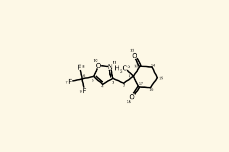 CC1(Cc2cc(C(F)(F)F)on2)C(=O)CCCC1=O